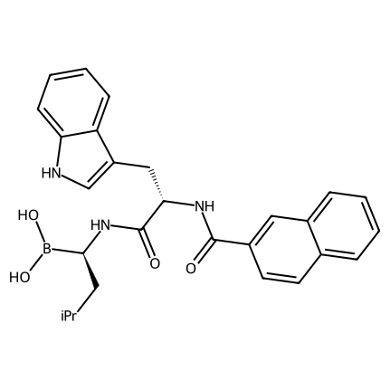 CC(C)C[C@H](NC(=O)[C@H](Cc1c[nH]c2ccccc12)NC(=O)c1ccc2ccccc2c1)B(O)O